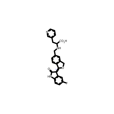 O=C1Nc2ccc(F)cc2/C1=C1\OCc2cc(CNC(Cc3cccnc3)C(=O)O)ccc21